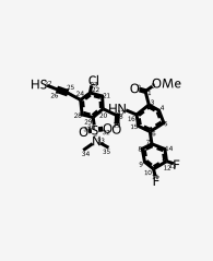 COC(=O)c1ccc(-c2ccc(F)c(F)c2)cc1NC(=O)c1cc(Cl)c(C#CS)cc1S(=O)(=O)N(C)C